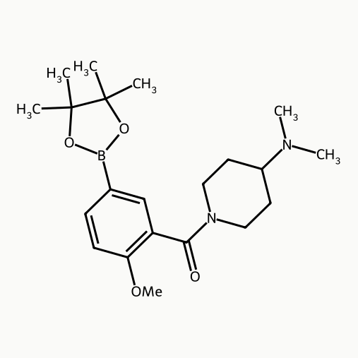 COc1ccc(B2OC(C)(C)C(C)(C)O2)cc1C(=O)N1CCC(N(C)C)CC1